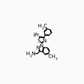 Cc1cccc(-c2nc(-n3nc(CN)c4cc(C)ccc43)sc2C(C)C)c1